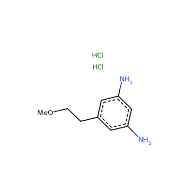 COCCc1cc(N)cc(N)c1.Cl.Cl